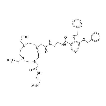 CNCCNC(=O)CN1CCN(CC(=O)O)CCN(CC=O)CCN(CC(=O)NCCNC(=O)c2cccc(OCc3ccccc3)c2OCc2ccccc2)CC1